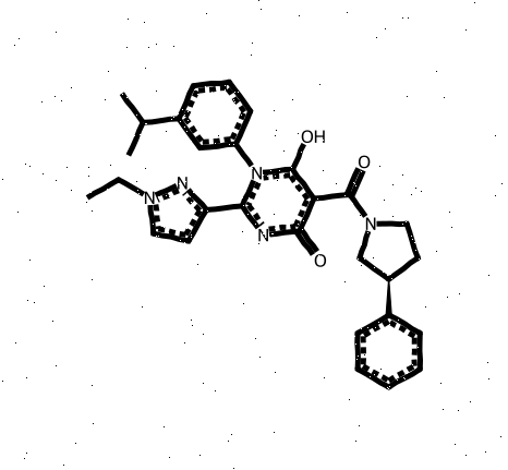 CCn1ccc(-c2nc(=O)c(C(=O)N3CC[C@@H](c4ccccc4)C3)c(O)n2-c2cccc(C(C)C)c2)n1